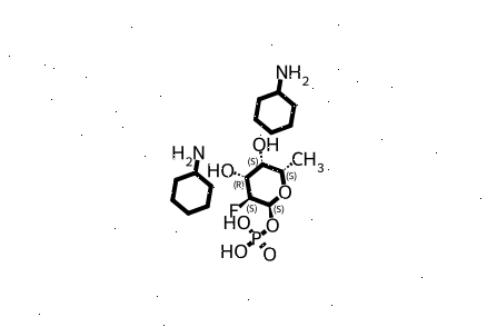 C[C@@H]1O[C@@H](OP(=O)(O)O)[C@@H](F)[C@H](O)[C@@H]1O.NC1CCCCC1.NC1CCCCC1